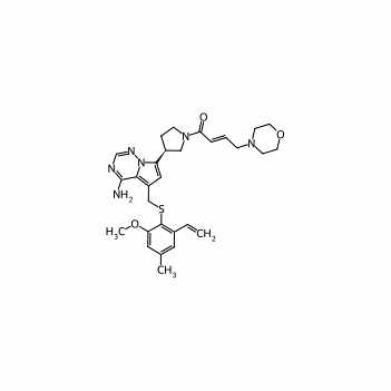 C=Cc1cc(C)cc(OC)c1SCc1cc([C@H]2CCN(C(=O)/C=C/CN3CCOCC3)C2)n2ncnc(N)c12